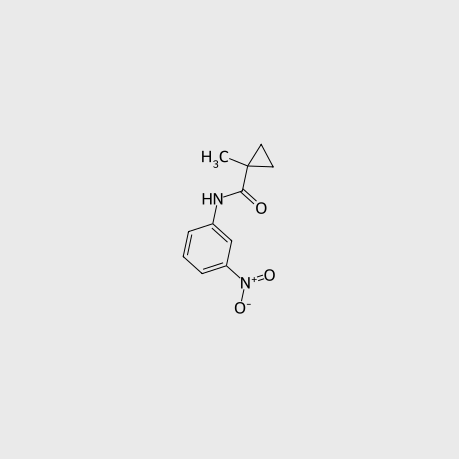 CC1(C(=O)Nc2cccc([N+](=O)[O-])c2)CC1